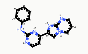 c1ccc(Nc2nccc(-c3cn4cccnc4n3)n2)cc1